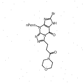 CCCCCn1c2nc(Br)[nH]c2c(=O)n2c(CCC(=O)N3CCOCC3)nnc12